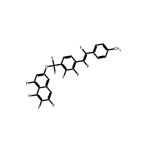 Cc1ccc(/C(F)=C(\F)c2ccc(C(F)(F)Oc3cc(F)c4c(F)c(F)c(F)cc4c3)c(F)c2F)cc1